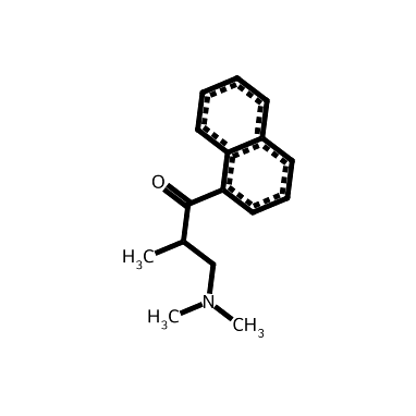 CC(CN(C)C)C(=O)c1cccc2ccccc12